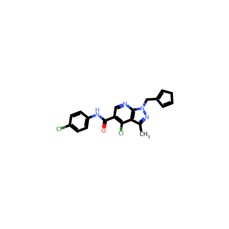 Cc1nn(CC2=CCC=C2)c2ncc(C(=O)Nc3ccc(Cl)cc3)c(Cl)c12